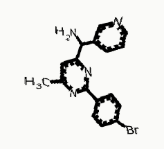 Cc1cc(C(N)c2cccnc2)nc(-c2ccc(Br)cc2)n1